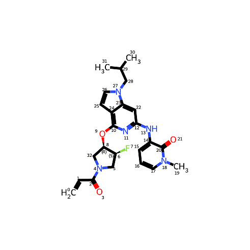 C=CC(=O)N1C[C@H](F)[C@H](Oc2nc(Nc3cccn(C)c3=O)cc3c2ccn3CC(C)C)C1